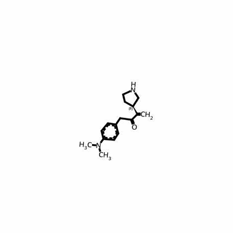 C=C(C(=O)Cc1ccc(N(C)C)cc1)[C@H]1CCNC1